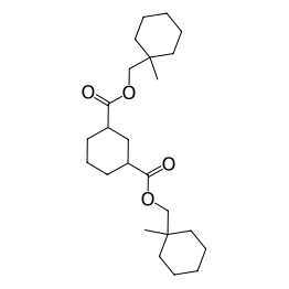 CC1(COC(=O)C2CCCC(C(=O)OCC3(C)CCCCC3)C2)CCCCC1